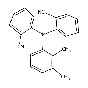 Cc1cccc(P(c2ccccc2C#N)c2ccccc2C#N)c1C